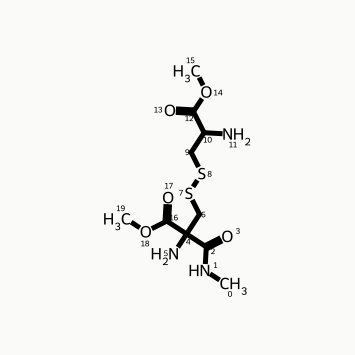 CNC(=O)C(N)(CSSCC(N)C(=O)OC)C(=O)OC